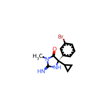 CN1C(=N)N[C@](c2cccc(Br)c2)(C2CC2)C1=O